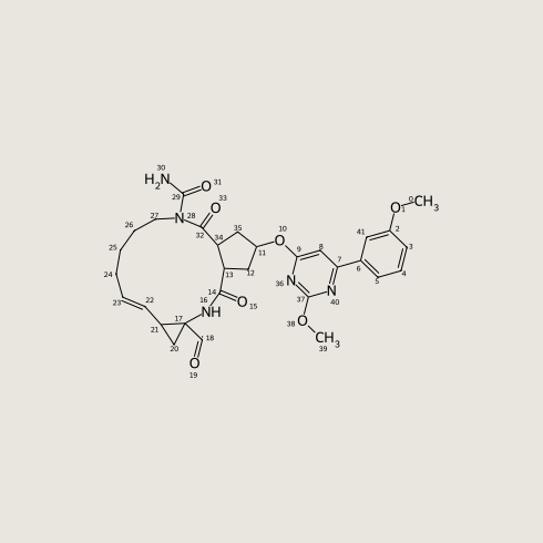 COc1cccc(-c2cc(OC3CC4C(=O)NC5([C]=O)CC5/C=C/CCCCN(C(N)=O)C(=O)C4C3)nc(OC)n2)c1